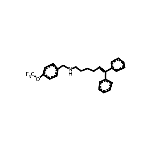 FC(F)(F)Oc1ccc(CNCCCCC=C(c2ccccc2)c2ccccc2)cc1